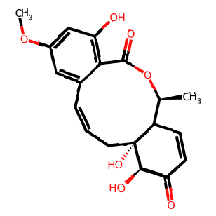 COc1cc(O)c2c(c1)/C=C\C[C@@]1(O)C(C=CC(=O)[C@H]1O)[C@H](C)OC2=O